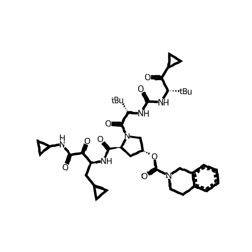 CC(C)(C)[C@H](NC(=O)N[C@H](C(=O)N1C[C@H](OC(=O)N2CCc3ccccc3C2)C[C@H]1C(=O)NC(CC1CC1)C(=O)C(=O)NC1CC1)C(C)(C)C)C(=O)C1CC1